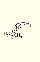 C=CN1C=CN(CO[Si](C)(C)C)N1